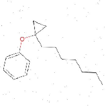 CCCCCCCC1(Oc2ccccc2)CC1